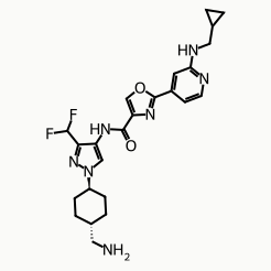 NC[C@H]1CC[C@H](n2cc(NC(=O)c3coc(-c4ccnc(NCC5CC5)c4)n3)c(C(F)F)n2)CC1